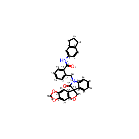 O=C(Nc1ccc2c(c1)CCC2)c1ccccc1CN1C(=O)C2(COc3cc4c(cc32)OCO4)c2ccccc21